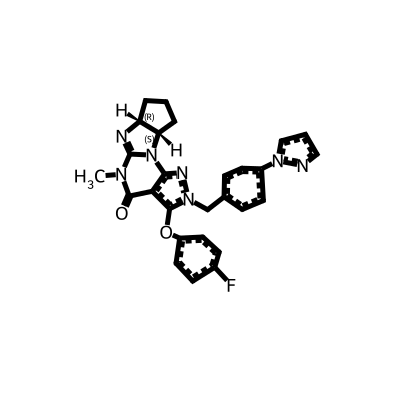 CN1C(=O)c2c(nn(Cc3ccc(-n4cccn4)cc3)c2Oc2ccc(F)cc2)N2C1=N[C@@H]1CCC[C@@H]12